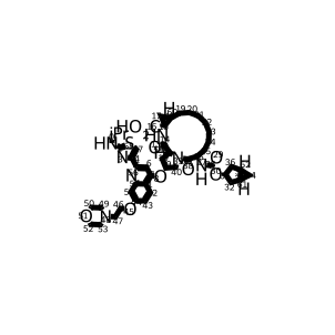 CC(C)Nc1nc(-c2cc(O[C@@H]3C[C@H]4C(=O)N[C@]5(C(=O)O)C[C@H]5CCCCCCC[C@H](NC(=O)O[C@@H]5C[C@@H]6C[C@@H]6C5)C(=O)N4C3)c3ccc(OCCN4CCOCC4)cc3n2)cs1